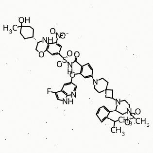 CC(C)c1ccccc1[C@@H]1CN(S(C)(=O)=O)CCN1C1CC2(CCN(c3ccc(C(=O)NS(=O)(=O)c4cc5c(c([N+](=O)[O-])c4)N[C@@H](C4CCC(C)(O)CC4)CO5)c(Oc4cnc5[nH]cc(F)c5c4)c3)CC2)C1